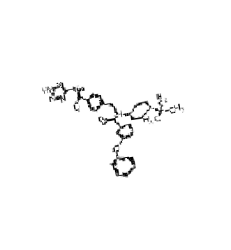 CC(C)(C)C1CCC(N(Cc2ccc(C(=O)Nc3nn[nH]n3)cc2)C(=O)c2cccc(Oc3ccccc3)c2)CC1